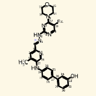 Cc1cc(/C=N/Nc2ncc(F)c(N3CCOCC3)n2)ncc1Nc1ccc(-c2cccc(O)c2)cc1